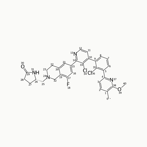 [CH2]c1ccc(-c2cccc(-c3ccnc(-c4cc(F)c5c(c4)CCN(C[C@@H]4CCC(=O)N4)C5)c3Cl)c2Cl)nc1OC